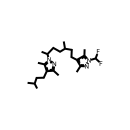 Cc1nn(C(F)F)c(C)c1CCC(C)CCC(C)n1nc(C)c(CCC(C)C)c1C